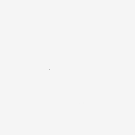 [CH2]C1CCC(C#N)(CCCCCCC)CC1